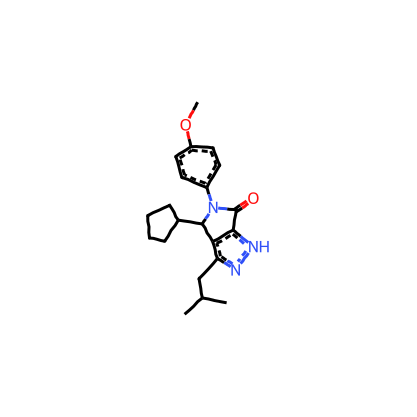 COc1ccc(N2C(=O)c3[nH]nc(CC(C)C)c3C2C2CCCC2)cc1